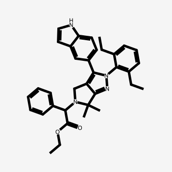 CCOC(=O)C(c1ccccc1)N1Cc2c(nn(-c3c(CC)cccc3CC)c2-c2ccc3[nH]ccc3c2)C1(C)C